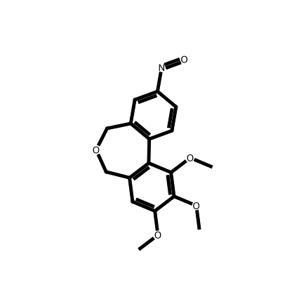 COc1cc2c(c(OC)c1OC)-c1ccc(N=O)cc1COC2